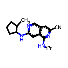 CC(C)Nc1nc(C#N)cc2cnc(NC3CCCC3C)cc12